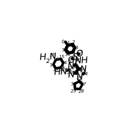 Cc1ccc(S(=O)(=O)Nc2nc(NC3CCC(N)CC3)nc3c2ncn3C2CCCC2)cc1